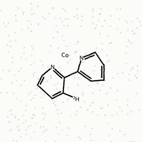 [2H]c1cccnc1-c1ccccn1.[Co]